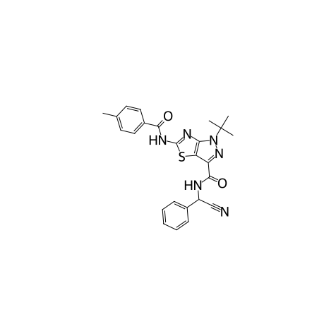 Cc1ccc(C(=O)Nc2nc3c(s2)c(C(=O)NC(C#N)c2ccccc2)nn3C(C)(C)C)cc1